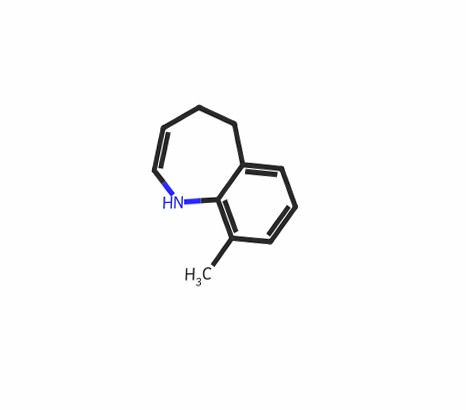 Cc1cccc2c1NC=CCC2